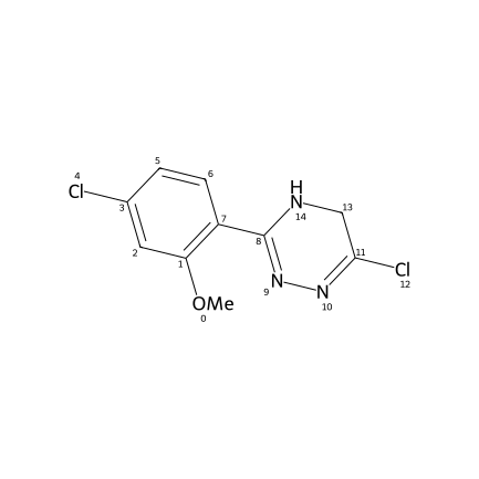 COc1cc(Cl)ccc1C1=NN=C(Cl)CN1